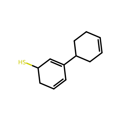 SC1C=C(C2CC=CCC2)C=CC1